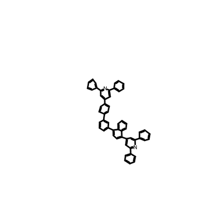 c1ccc(-c2cc(-c3ccc(-c4cccc(-c5ccc(-c6cc(-c7ccccc7)nc(-c7ccccc7)c6)c6ccccc56)c4)cc3)cc(-c3ccccc3)n2)cc1